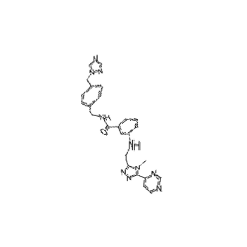 Cn1c(CNc2cccc(C(=O)NCc3ccc(Cn4cncn4)cc3)c2)nnc1-c1ccncn1